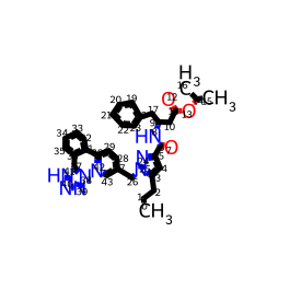 CCCc1cc(C(=O)NC(CC(=O)OC(C)C)Cc2ccccc2)nn1Cc1ccc(-c2ccccc2-c2nnn[nH]2)nc1